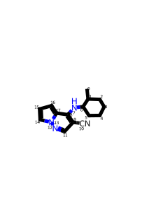 CC1CCCCC1Nc1c(C#N)cnn2cccc12